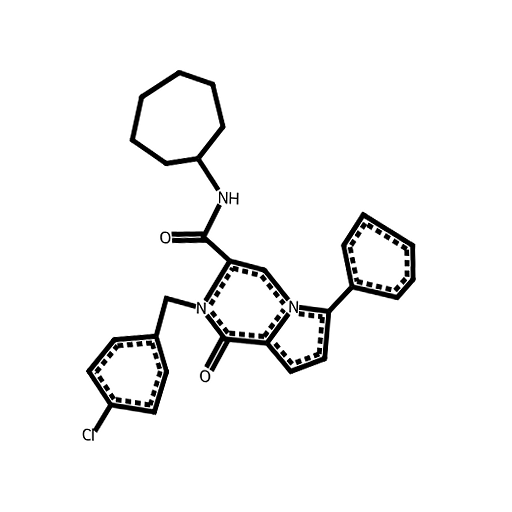 O=C(NC1CCCCCC1)c1cn2c(-c3ccccc3)ccc2c(=O)n1Cc1ccc(Cl)cc1